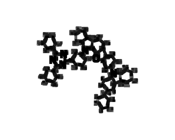 c1ccc(-c2ccc3c(c2)c2ccccc2n3-c2ccc3c(c2)oc2c3ccc3c4ccccc4n(-c4cccc(-c5nc(-c6ccccc6)nc(-c6ccccc6)n5)c4)c32)cc1